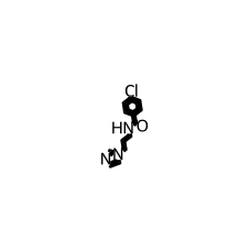 O=C(NCCCn1ccnc1)c1ccc(Cl)cc1